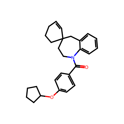 O=C(c1ccc(OC2CCCC2)cc1)N1CCC2(C=CCCC2)Cc2ccccc21